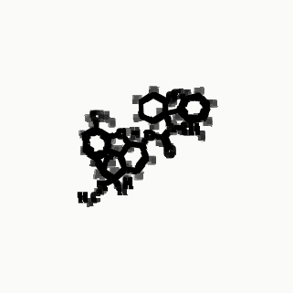 Cc1ccc2c3c1O[C@H]1[C@@H](OC(=O)N(C)C4(c5ccccc5Cl)CCCCC4=O)C=C[C@H]4[C@@H]5N(C)[C@@]25C[C@@]341